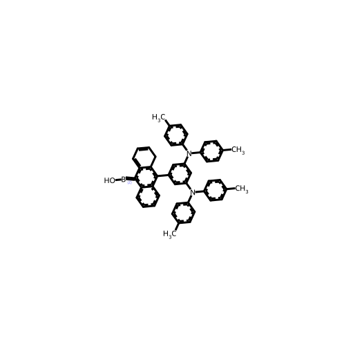 Cc1ccc(N(c2ccc(C)cc2)c2cc(-c3c4c(/c(=B\O)c5ccccc35)=CC=CC4)cc(N(c3ccc(C)cc3)c3ccc(C)cc3)c2)cc1